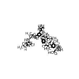 CC(C)OC(=O)c1cc(-c2nn(C)c(C(F)(F)F)c2Br)c(F)cc1Cl.CC1COc2ccccc2N1C(=O)C(Cl)Cl.CCNc1nc(Cl)nc(NC(C)C)n1.CCc1cccc(C)c1N(C(=O)CCl)C(C)COC.O=C(O)CNCP(=O)(O)O